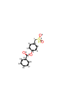 O=C(Oc1ccc(C[SH](=O)=O)cc1)c1ccccc1